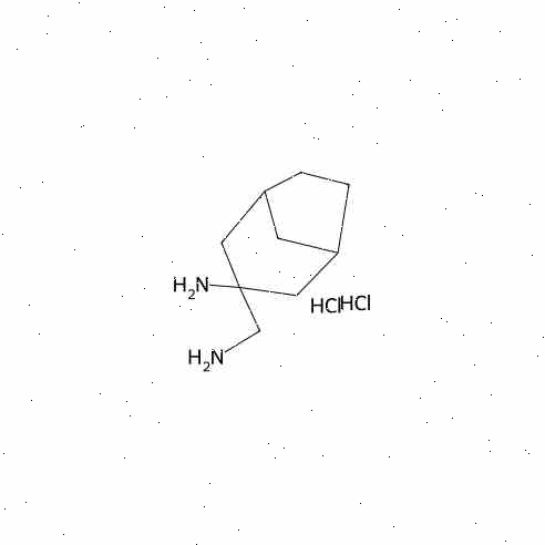 Cl.Cl.NCC1(N)CC2CCC(C2)C1